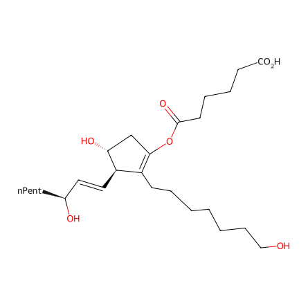 CCCCC[C@H](O)/C=C/[C@@H]1C(CCCCCCCO)=C(OC(=O)CCCCC(=O)O)C[C@H]1O